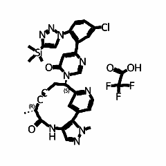 C[C@@H]1CCC[C@H](n2cnc(-c3cc(Cl)ccc3-n3cc([Si](C)(C)C)nn3)cc2=O)c2cc(ccn2)-c2c(cnn2C)NC1=O.O=C(O)C(F)(F)F